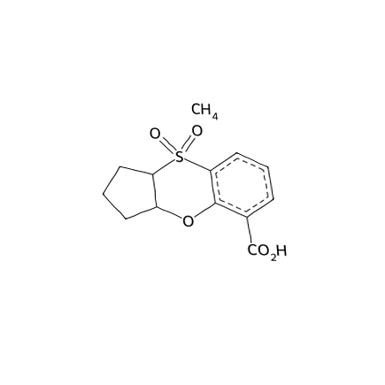 C.O=C(O)c1cccc2c1OC1CCCC1S2(=O)=O